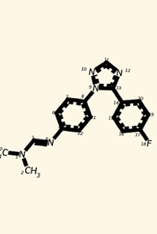 CN(C)C=Nc1ccc(-n2ncnc2-c2ccc(F)cc2)cc1